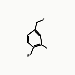 CC(C)c1ccc(CF)cc1F